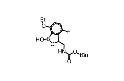 CCOc1ccc(F)c2c1B(O)OC2CNC(=O)OC(C)(C)C